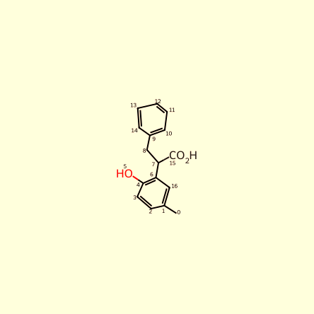 Cc1ccc(O)c(C(Cc2ccccc2)C(=O)O)c1